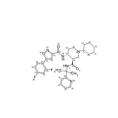 CC(C)(NC(=O)[C@@H]1CN(C2CCCCC2)CC[C@H]1NC(=O)c1cc(-c2ccc(F)cc2F)on1)c1ccccn1